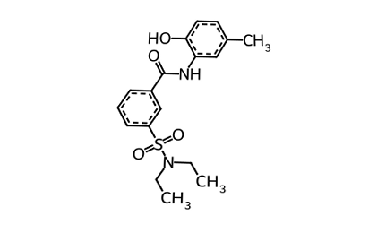 CCN(CC)S(=O)(=O)c1cccc(C(=O)Nc2cc(C)ccc2O)c1